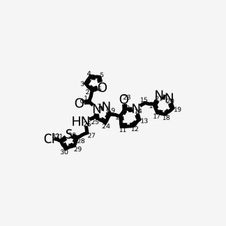 O=C(c1ccco1)n1nc(-c2cccn(Cc3cccnn3)c2=O)cc1NCc1ccc(Cl)s1